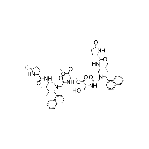 CC[C@H](C)[C@@H](CN(CC(=O)N[C@@H](COC(=O)[C@H](CO)NC(=O)CN(Cc1cccc2ccccc12)C[C@@H](NC(=O)[C@@H]1CCC(=O)N1)[C@@H](C)CC)C(=O)OC)Cc1cccc2ccccc12)NC(=O)[C@@H]1CCC(=O)N1